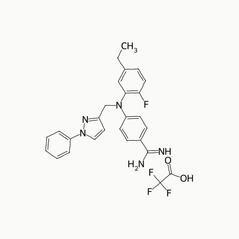 CCc1ccc(F)c(N(Cc2ccn(-c3ccccc3)n2)c2ccc(C(=N)N)cc2)c1.O=C(O)C(F)(F)F